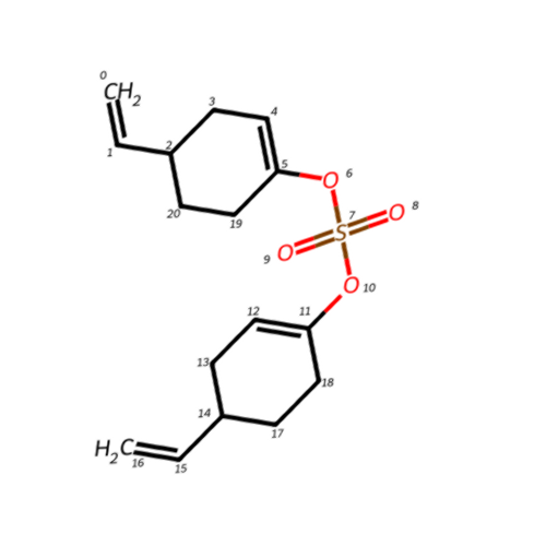 C=CC1CC=C(OS(=O)(=O)OC2=CCC(C=C)CC2)CC1